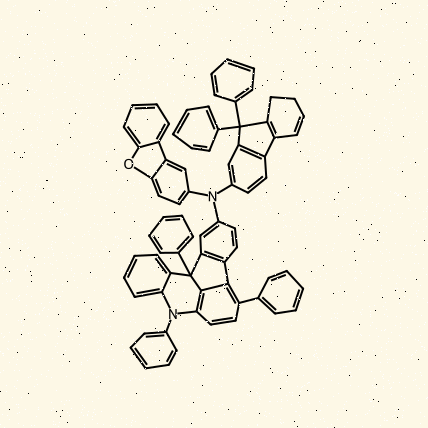 C1=CC2=C(CC1)C(c1ccccc1)(c1ccccc1)c1cc(N(c3ccc4c(c3)C3(c5ccccc5)c5ccccc5N(c5ccccc5)c5ccc(-c6ccccc6)c-4c53)c3ccc4oc5ccccc5c4c3)ccc12